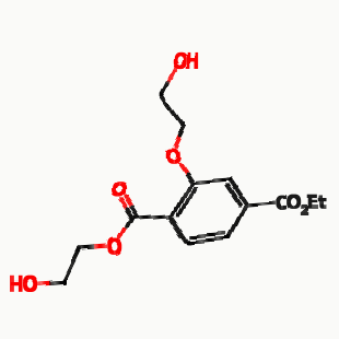 CCOC(=O)c1ccc(C(=O)OCCO)c(OCCO)c1